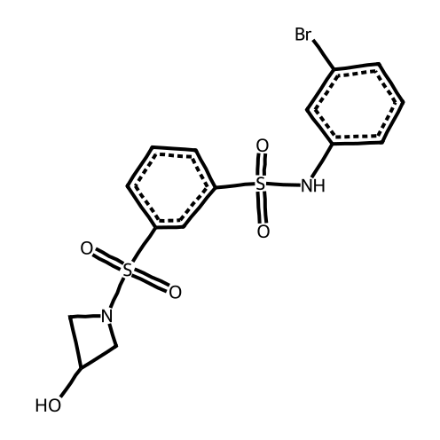 O=S(=O)(Nc1cccc(Br)c1)c1cccc(S(=O)(=O)N2CC(O)C2)c1